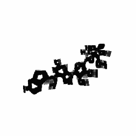 CC(CO)(OC[C@H]1O[C@@H](n2ncc3c(N[C@@H]4CCc5cc(F)ccc54)nc(Cl)nc32)[C@H](O)[C@@H]1O)P(=O)(O)O